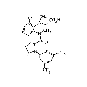 Cc1cc(C(F)(F)F)cc(N2C(=O)CCC2C(=O)N(C)c2cccc(Cl)c2N(C)CC(=O)O)n1